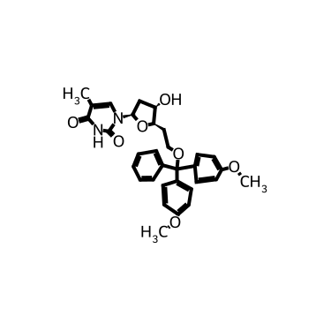 COc1ccc(C(OCC[C@H]2O[C@@H](n3cc(C)c(=O)[nH]c3=O)C[C@@H]2O)(c2ccccc2)c2ccc(OC)cc2)cc1